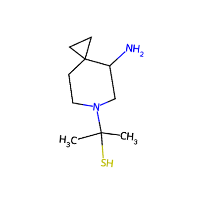 CC(C)(S)N1CCC2(CC2)C(N)C1